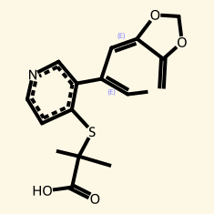 C=C1OCO/C1=C/C(=C\C)c1cnccc1SC(C)(C)C(=O)O